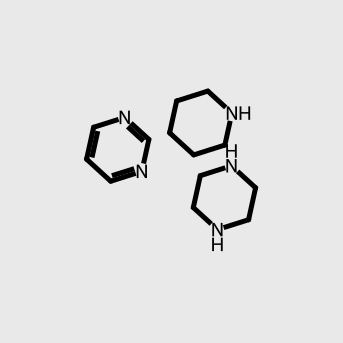 C1CCNCC1.C1CNCCN1.c1cncnc1